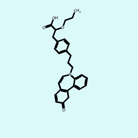 CCCOC(Cc1ccc(CCCN2C=CC3=C(CC(=O)C=C3)c3ccccc32)cc1)C(=O)O